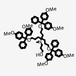 COc1ccc(C(OCCCC(CCCOC(c2ccccc2)(c2ccc(OC)cc2)c2ccc(OC)cc2)(CCCOC(c2ccccc2)(c2ccc(OC)cc2)c2ccc(OC)cc2)N(C)CCCO)(c2ccccc2)c2ccc(OC)cc2)cc1